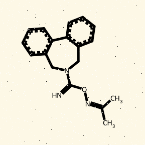 CC(C)=NOC(=N)N1Cc2ccccc2-c2ccccc2C1